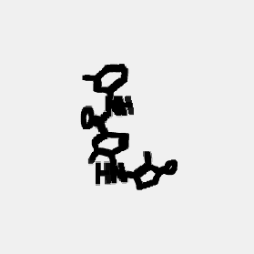 CC1=C(Nc2ccc(C(=O)Nc3cccc(C)c3)cc2C)CCC1=O